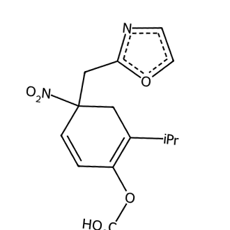 CC(C)C1=C(OC(=O)O)C=CC(Cc2ncco2)([N+](=O)[O-])C1